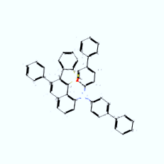 c1ccc(-c2ccc(N(c3ccc(-c4ccccc4)cc3)c3cccc4cc(-c5ccccc5)c5c6ccccc6sc5c34)cc2)cc1